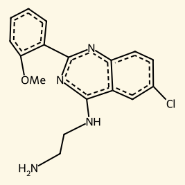 COc1ccccc1-c1nc(NCCN)c2cc(Cl)ccc2n1